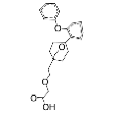 O=C(O)COCCC12CCC(c3ccccc3Oc3ccccc3)(CC1)OC2